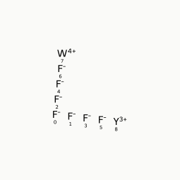 [F-].[F-].[F-].[F-].[F-].[F-].[F-].[W+4].[Y+3]